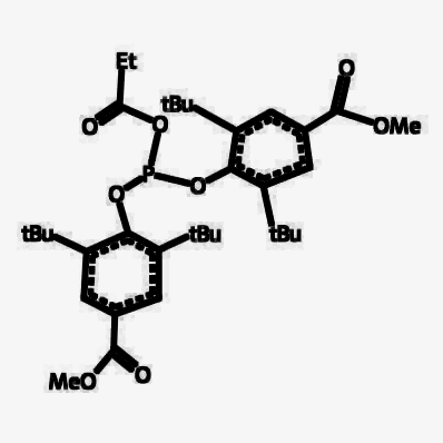 CCC(=O)OP(Oc1c(C(C)(C)C)cc(C(=O)OC)cc1C(C)(C)C)Oc1c(C(C)(C)C)cc(C(=O)OC)cc1C(C)(C)C